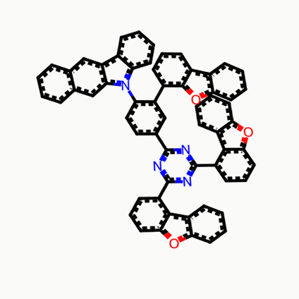 c1ccc2cc3c(cc2c1)c1ccccc1n3-c1ccc(-c2nc(-c3cccc4oc5ccccc5c34)nc(-c3cccc4oc5ccccc5c34)n2)cc1-c1cccc2c1oc1ccccc12